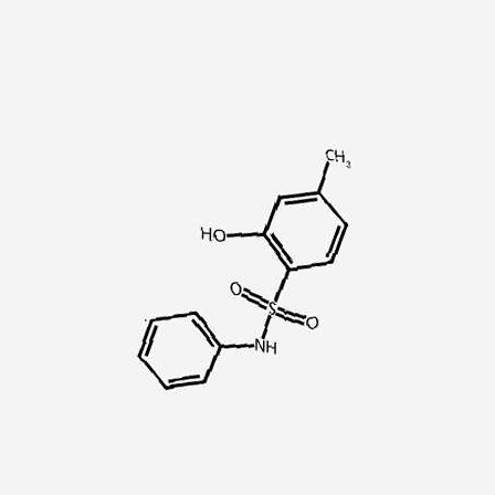 Cc1ccc(S(=O)(=O)Nc2c[c]ccc2)c(O)c1